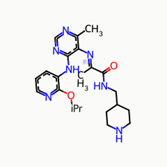 C/C(=N\c1c(C)ncnc1Nc1cccnc1OC(C)C)C(=O)NCC1CCNCC1